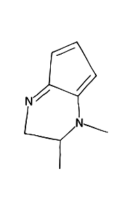 CC1CN=C2C=CC=C2N1C